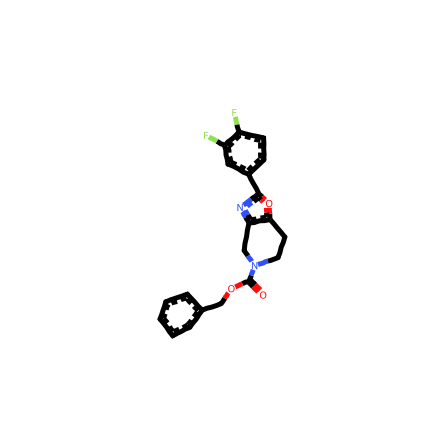 O=C(OCc1ccccc1)N1CCc2oc(-c3ccc(F)c(F)c3)nc2C1